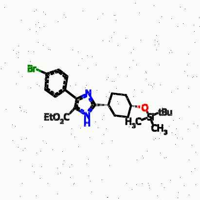 CCOC(=O)c1[nH]c([C@H]2CC[C@@H](O[Si](C)(C)C(C)(C)C)CC2)nc1-c1ccc(Br)cc1